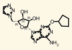 Nc1nc(OC2CCCC2)nc2c1ncn2[C@@H]1O[C@H](Cn2ccnn2)[C@@H](O)[C@H]1O